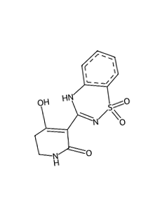 O=C1NCCC(O)=C1C1=NS(=O)(=O)c2ccccc2N1